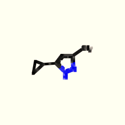 [CH2]c1cc(C2CC2)[nH]n1